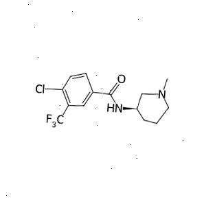 CN1CCC[C@@H](NC(=O)c2ccc(Cl)c(C(F)(F)F)c2)C1